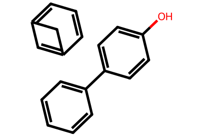 Oc1ccc(-c2ccccc2)cc1.c1cc2cc(c1)C2